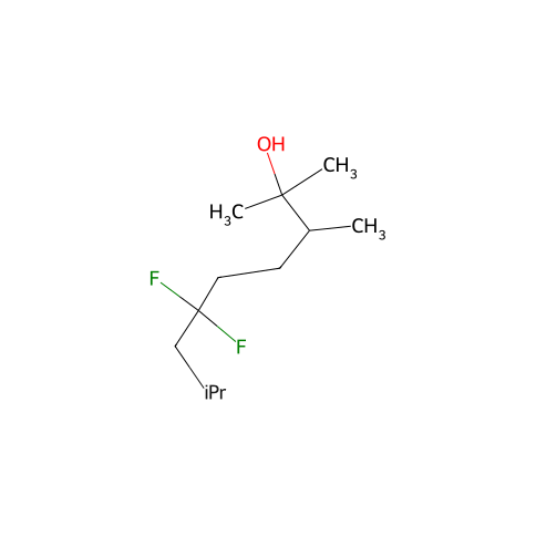 CC(C)CC(F)(F)CCC(C)C(C)(C)O